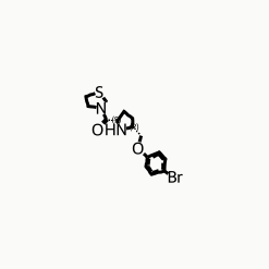 O=C([C@@H]1CC[C@H](COc2ccc(Br)cc2)N1)N1CCSC1